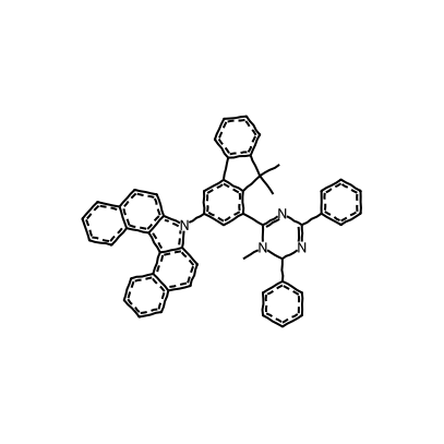 CN1C(c2cc(-n3c4ccc5ccccc5c4c4c5ccccc5ccc43)cc3c2C(C)(C)c2ccccc2-3)=NC(c2ccccc2)=NC1c1ccccc1